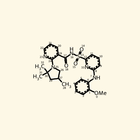 COc1ccccc1Nc1cccc(S(=O)(=O)NC(=O)c2cccnc2N2CC(C)CC2(C)C)n1